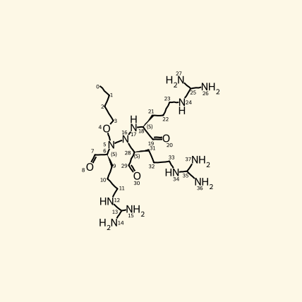 CCCCON([C@H](C=O)CCCNC(N)N)N(N[C@H](C=O)CCCNC(N)N)[C@H](C=O)CCCNC(N)N